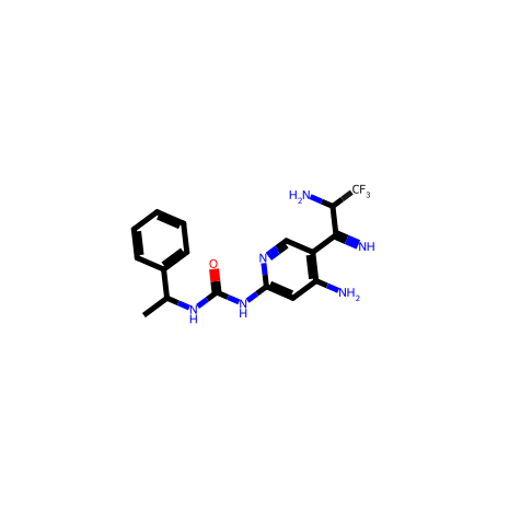 CC(NC(=O)Nc1cc(N)c(C(=N)C(N)C(F)(F)F)cn1)c1ccccc1